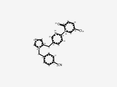 N#Cc1ccc(Cn2cncc2Cc2ccc(-n3cc(Cl)ccc3=O)nc2)cc1